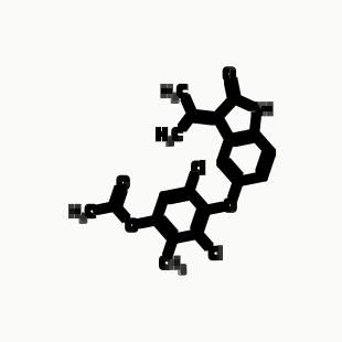 CC(=O)Oc1cc(Cl)c(Oc2ccc3c(c2)C(=C(C)C)C(=O)N3)c(Cl)c1C